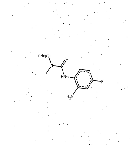 CCCCCCCN(C)C(=O)Nc1ccc(F)cc1N